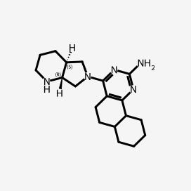 Nc1nc2c(c(N3C[C@@H]4CCCN[C@H]4C3)n1)CCC1CCCCC21